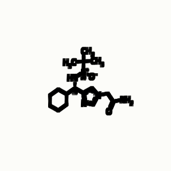 CC(C)(C)[S@+]([O-])N[C@H](c1cn(CC(N)=O)cn1)C1CCCCC1